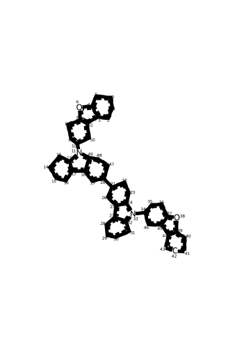 c1ccc2c(c1)oc1ccc(-n3c4ccccc4c4cc(-c5ccc6c(c5)c5ccccc5n6-c5ccc6oc7ccccc7c6c5)ccc43)cc12